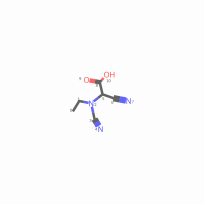 CCN(C#N)C(C#N)C(=O)O